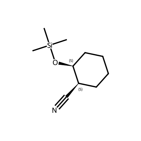 C[Si](C)(C)O[C@H]1CCCC[C@H]1C#N